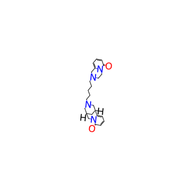 O=c1cccc2n1CCN(CCCCCN1C[C@@H]3C[C@H](C1)c1cccc(=O)n1C3)C2